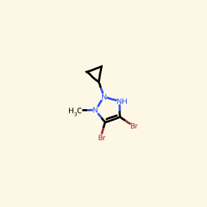 CN1C(Br)=C(Br)NN1C1CC1